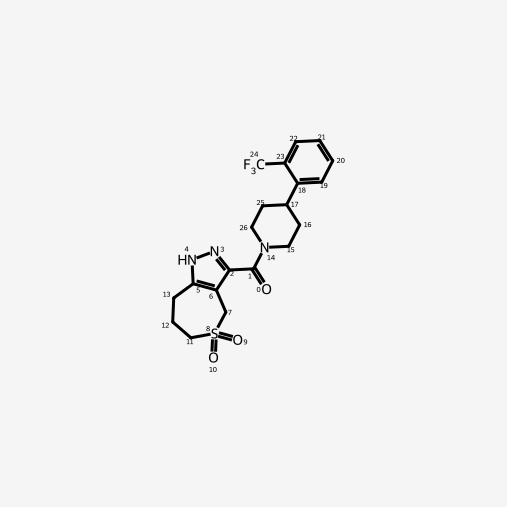 O=C(c1n[nH]c2c1CS(=O)(=O)CCC2)N1CCC(c2ccccc2C(F)(F)F)CC1